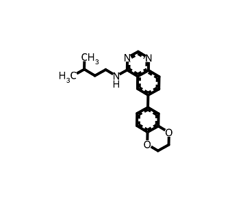 CC(C)CCNc1ncnc2ccc(-c3ccc4c(c3)OCCO4)cc12